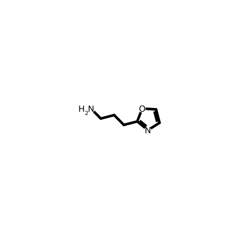 NCCCc1ncco1